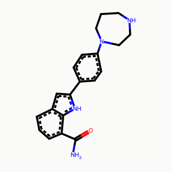 NC(=O)c1cccc2cc(-c3ccc(N4CCCNCC4)cc3)[nH]c12